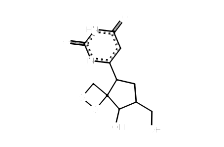 O=c1cc(C2CC(CO)C(O)C23COO3)[nH]c(=O)[nH]1